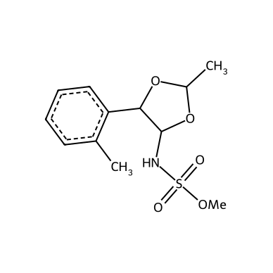 COS(=O)(=O)NC1OC(C)OC1c1ccccc1C